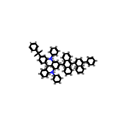 CC(C)(c1ccccc1)c1ccc2c(c1)N(c1ccccc1)c1cc(-c3c4ccccc4c(-c4ccc(-c5ccccc5)c5ccccc45)c4ccccc34)cc3c1B2c1ccccc1N3c1ccccc1